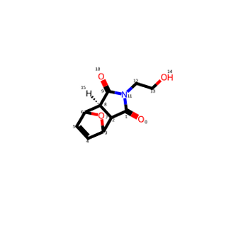 O=C1C2C3C=CC(O3)[C@H]2C(=O)N1CCO